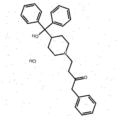 Cl.O=C(CCN1CCC(C(O)(c2ccccc2)c2ccccc2)CC1)Cc1ccccc1